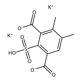 Cc1cc(C(=O)[O-])c(S(=O)(=O)O)c(C(=O)[O-])c1C.[K+].[K+]